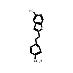 N#Cc1ccc2oc(CCc3ccc(C(=O)O)cc3)cc2c1